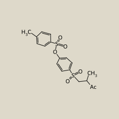 CC(=O)C(C)CS(=O)(=O)c1ccc(OS(=O)(=O)c2ccc(C)cc2)cc1